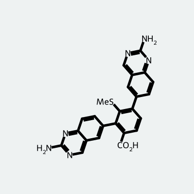 CSc1c(-c2ccc3nc(N)ncc3c2)ccc(C(=O)O)c1-c1ccc2nc(N)ncc2c1